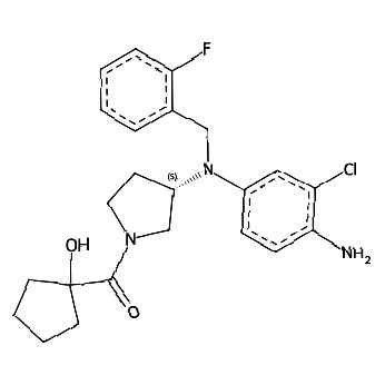 Nc1ccc(N(Cc2ccccc2F)[C@H]2CCN(C(=O)C3(O)CCCC3)C2)cc1Cl